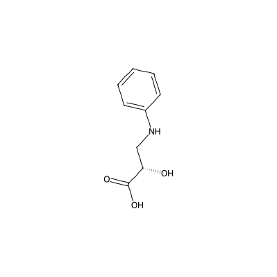 O=C(O)[C@@H](O)CNc1ccccc1